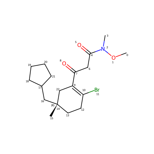 CON(C)C(=O)CC(=O)C1=C(Br)CC[C@](C)(CC2CCCC2)C1